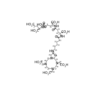 O=C(O)CC[C@H](NP(=O)(O)OCC[C@H](NC(=O)CC[C@@H](NC(=O)CCCCCNC(=O)CN1CCN(CC(=O)O)CCN(CC(=O)O)CCN(CC(=O)O)CC1)C(=O)O)C(=O)O)C(=O)O